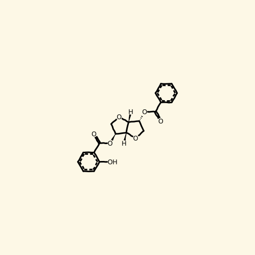 O=C(O[C@@H]1CO[C@H]2[C@@H]1OC[C@@H]2OC(=O)c1ccccc1O)c1ccccc1